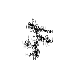 COC1[C@@H](OP(=O)(S)OCCCO)[C@@H](COP(=O)(S)O[C@@H]2C[C@H](n3cc(C)c(=O)[nH]c3=O)O[C@@H]2COP(=S)(S)O[C@@H]2C[C@H](n3cnc4c(=O)[nH]c(N)nc43)O[C@@H]2COP(=O)(S)OC(C)C)O[C@H]1n1cc(C)c(=O)[nH]c1=O